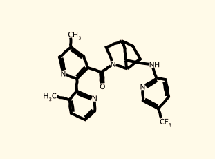 Cc1cnc(-c2ncccc2C)c(C(=O)N2CC3CCC2C(Nc2ccc(C(F)(F)F)cn2)C3)c1